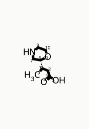 CC(CC(=O)O)[C@@H]1CNCCO1